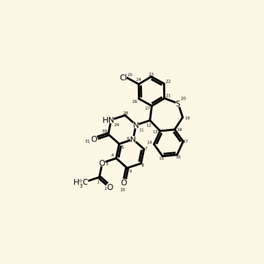 CC(=O)Oc1c2n(ccc1=O)N(C1c3ccccc3CSc3ccc(Cl)cc31)CNC2=O